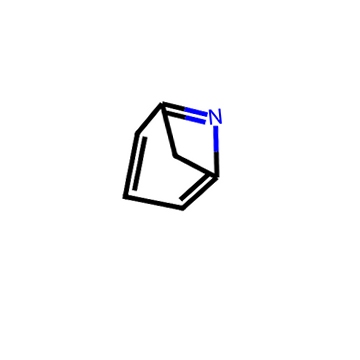 c1cc2nc(c1)C2